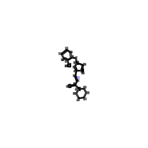 O=C(/C=C/c1cn(Cc2ccccc2Cl)cn1)N1CCCCC1